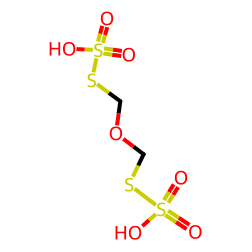 O=S(=O)(O)SCOCSS(=O)(=O)O